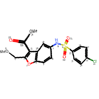 COCc1oc2ccc(NS(=O)(=O)c3ccc(Cl)cc3)cc2c1C(=O)OC